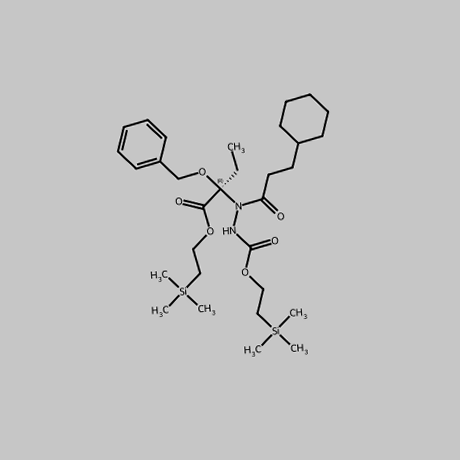 CC[C@@](OCc1ccccc1)(C(=O)OCC[Si](C)(C)C)N(NC(=O)OCC[Si](C)(C)C)C(=O)CCC1CCCCC1